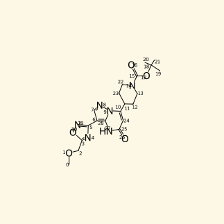 COCc1nc(-c2cnn3c(C4CCN(C(=O)OC(C)(C)C)CC4)cc(=O)[nH]c23)no1